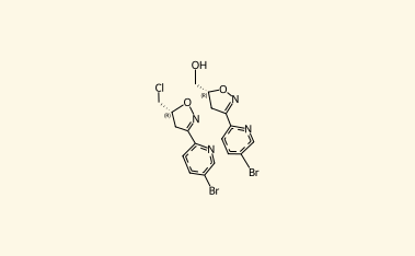 ClC[C@H]1CC(c2ccc(Br)cn2)=NO1.OC[C@H]1CC(c2ccc(Br)cn2)=NO1